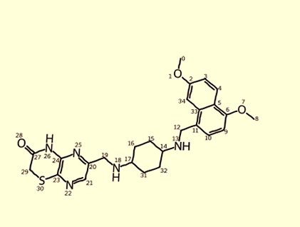 COc1ccc2c(OC)ccc(CNC3CCC(NCc4cnc5c(n4)NC(=O)CS5)CC3)c2c1